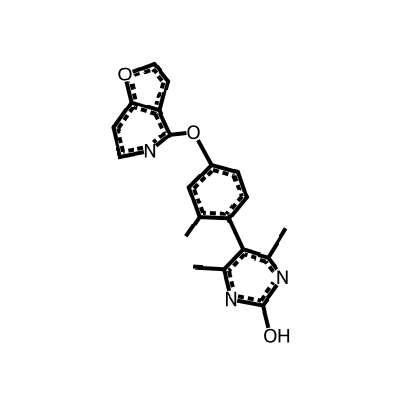 Cc1cc(Oc2nccc3occc23)ccc1-c1c(C)nc(O)nc1C